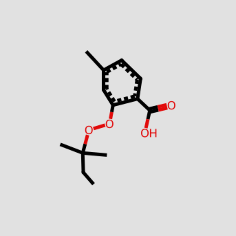 CCC(C)(C)OOc1cc(C)ccc1C(=O)O